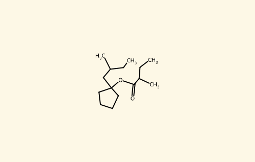 CCC(C)CC1(OC(=O)C(C)CC)CCCC1